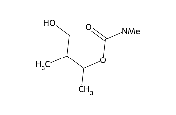 CNC(=O)OC(C)C(C)CO